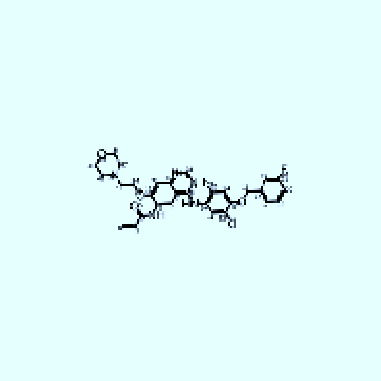 C=CC(=O)Nc1cc2c(Nc3cc(Cl)c(OCc4cccc(F)c4)cc3F)ncnc2cc1OCCN1CCOCC1